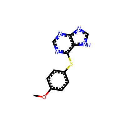 COc1ccc(Sc2ncnc3nc[nH]c23)cc1